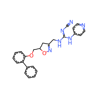 N#CN=C(NCC1=NOC(COc2ccccc2-c2ccccc2)C1)Nc1ccncc1